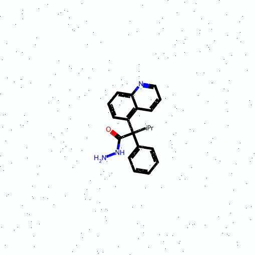 CC(C)C(C(=O)NN)(c1ccccc1)c1cccc2ncccc12